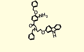 Nc1cc(C(=O)CN(CCOc2ccc3c(c2)[nH]c2ccccc23)Cc2ccccc2)ccc1OCc1ccccc1